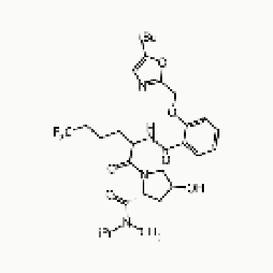 CC(C)N(C)C(=O)[C@H]1C[C@H](O)CN1C(=O)C(CCCC(F)(F)F)NC(=O)c1ccccc1OCc1ncc(C(C)(C)C)o1